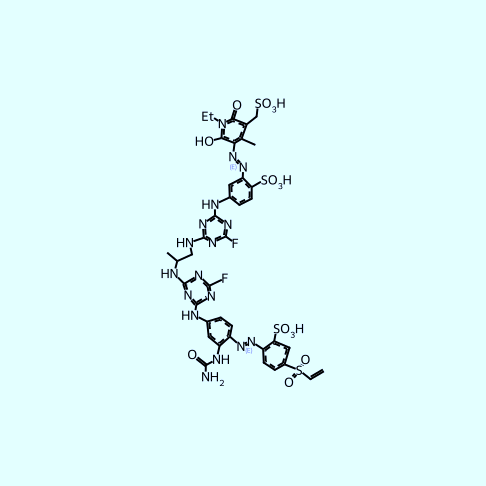 C=CS(=O)(=O)c1ccc(/N=N/c2ccc(Nc3nc(F)nc(NC(C)CNc4nc(F)nc(Nc5ccc(S(=O)(=O)O)c(/N=N/c6c(C)c(CS(=O)(=O)O)c(=O)n(CC)c6O)c5)n4)n3)cc2NC(N)=O)c(S(=O)(=O)O)c1